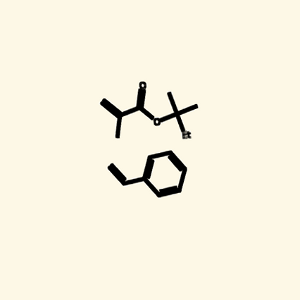 C=C(C)C(=O)OC(C)(C)CC.C=Cc1ccccc1